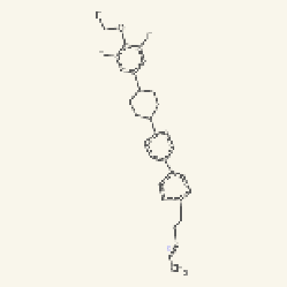 C/C=C/CCc1ccc(-c2ccc(C3CCC(c4cc(F)c(OCF)c(F)c4)CC3)cc2)cc1